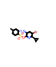 Cc1ccc(S(=O)(=O)Oc2nc(C3CC3)c(Br)cc2N)cc1